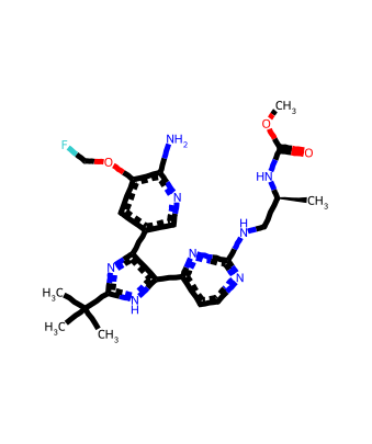 COC(=O)N[C@@H](C)CNc1nccc(-c2[nH]c(C(C)(C)C)nc2-c2cnc(N)c(OCF)c2)n1